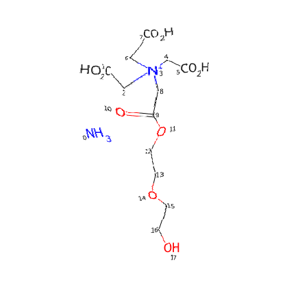 N.O=C(O)C[N+](CC(=O)O)(CC(=O)O)CC(=O)OCCOCCO